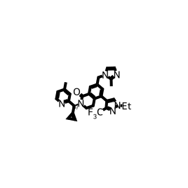 CCn1cc(-c2cc(Cn3ccnc3C)cc3c2CCN([C@@H](C2=CC2)c2cc(C)ccn2)C3=O)c(C(F)(F)F)n1